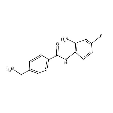 NCc1ccc(C(=O)Nc2ccc(F)cc2N)cc1